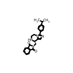 CC(C)c1ccc(-c2ncc3n2CCN[C@@H]3CN2C(=O)c3ccccc3C2=O)cc1